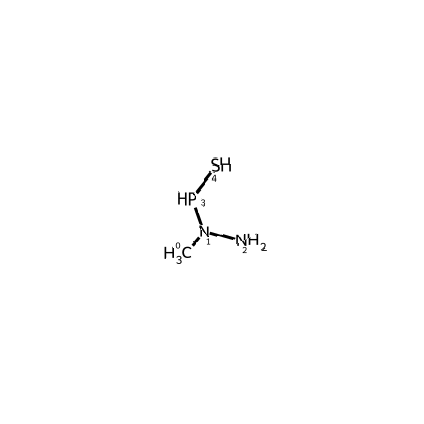 CN(N)PS